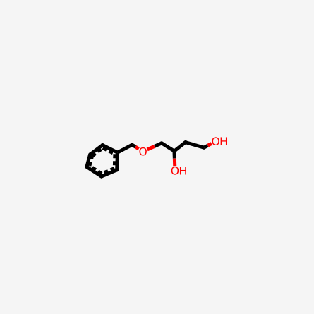 OCCC(O)COCc1ccccc1